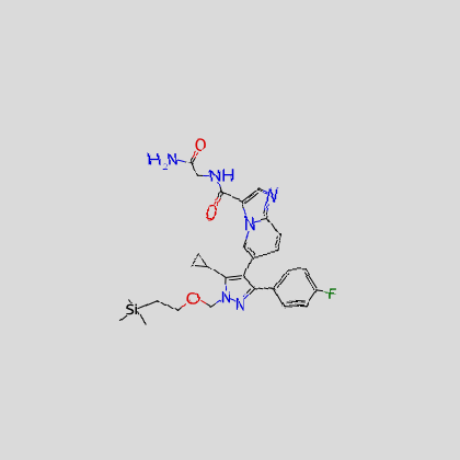 C[Si](C)(C)CCOCn1nc(-c2ccc(F)cc2)c(-c2ccc3ncc(C(=O)NCC(N)=O)n3c2)c1C1CC1